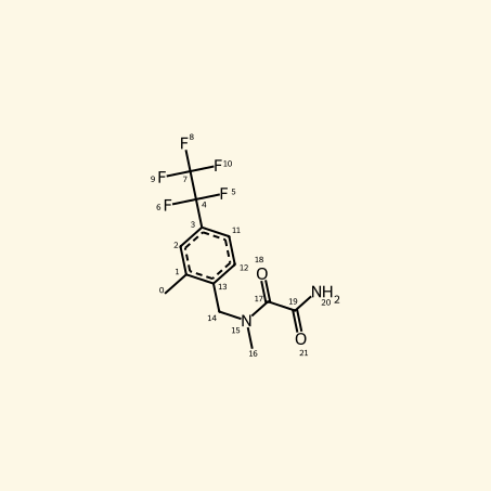 Cc1cc(C(F)(F)C(F)(F)F)ccc1CN(C)C(=O)C(N)=O